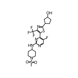 CS(=O)(=O)N1CCC(Nc2ncc(F)c(-c3sc(C4CCC(O)C4)nc3C(F)(F)F)n2)CC1